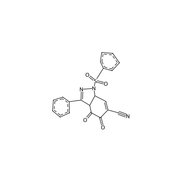 N#CC1=CC2C(C(=O)C1=O)C(c1ccccc1)=NN2S(=O)(=O)c1ccccc1